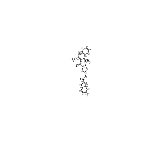 C=C(/C(C(=O)N1CC[C@@H](CNc2cc3ccc(F)cc3s2)C1)=C(/C)CCC)c1ccccc1